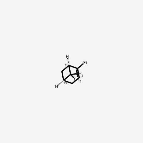 [CH2]CC1=CC[C@H]2C[C@@H]1C2(C)C